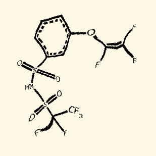 O=S(=O)(NS(=O)(=O)C(F)(F)C(F)(F)F)c1cccc(OC(F)=C(F)F)c1